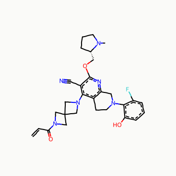 C=CC(=O)N1CC2(C1)CN(c1c(C#N)c(OC[C@@H]3CCCN3C)nc3c1CCN(c1c(O)cccc1F)C3)C2